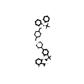 CC1(C)c2ccc(C3CCN(CC4CCC(CO[Si](c5ccccc5)(c5ccccc5)C(C)(C)C)CC4)CC3)cc2-n2c1nc(=O)c1c(Cl)cccc12